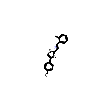 Cc1ccccc1/C=C/c1nc(-c2ccc(Cl)cc2)cs1